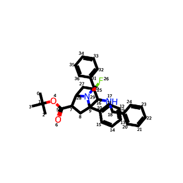 CC(C)(C)OC(=O)C1CC2(c3ccccc3)C(NCc3ccccc3)C(F)CC1N2Cc1ccccc1